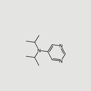 CC(C)N(c1cncnc1)C(C)C